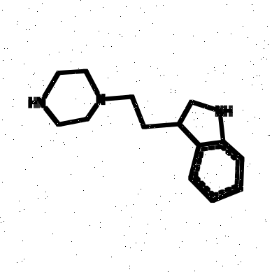 c1ccc2c(c1)NCC2CCN1CCNCC1